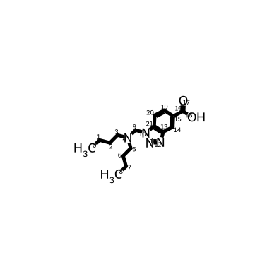 CCCCN(CCCC)Cn1nnc2cc(C(=O)O)ccc21